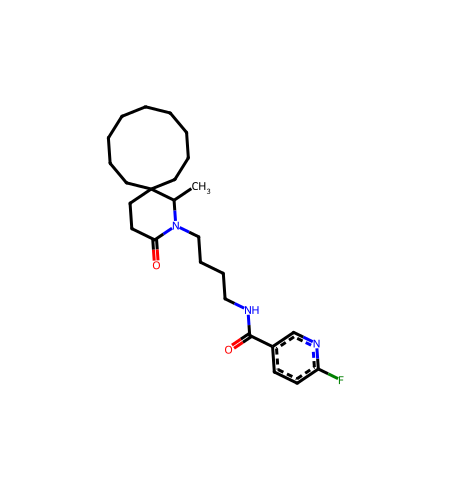 CC1N(CCCCNC(=O)c2ccc(F)nc2)C(=O)CCC12CCCCCCCCC2